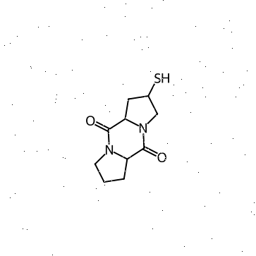 O=C1C2CC(S)CN2C(=O)C2CCCN12